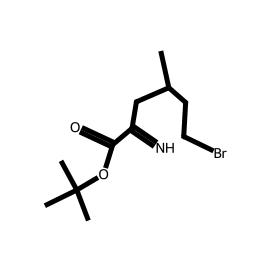 CC(CCBr)CC(=N)C(=O)OC(C)(C)C